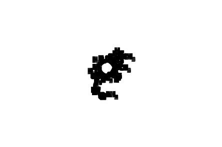 CC[C@H]1OC(=O)[C@H](Cc2cncs2)C(=O)C[C@@H](O[C@@H]2O[C@H](C)CC(N(C)C)C2O)[C@](C)(OC)C[C@@H](C)CN[C@H](C)[C@@H](N(C=O)CCCCn2cc(-c3cccc(N)c3)nn2)[C@]1(C)O